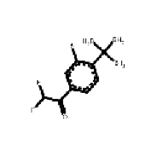 BC(B)(B)c1ccc(C(=O)C(F)F)cc1Br